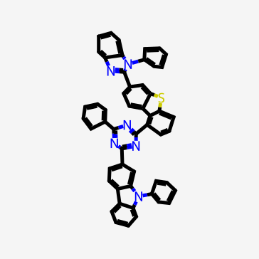 c1ccc(-c2nc(-c3ccc4c5ccccc5n(-c5ccccc5)c4c3)nc(-c3cccc4sc5cc(-c6nc7ccccc7n6-c6ccccc6)ccc5c34)n2)cc1